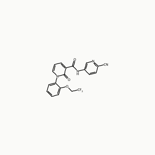 N#Cc1ccc(NC(=O)c2cccn(-c3ccccc3OCC(F)(F)F)c2=O)cn1